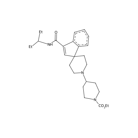 CCOC(=O)N1CCC(N2CCC3(C=C(C(=O)NC(CC)CC)c4ccccc43)CC2)CC1